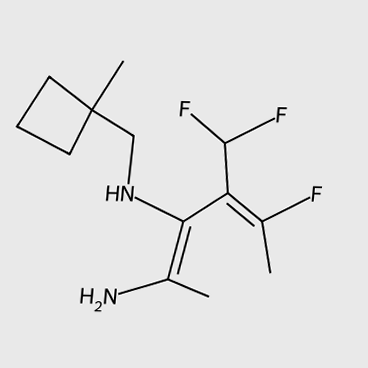 C/C(N)=C(NCC1(C)CCC1)\C(=C(/C)F)C(F)F